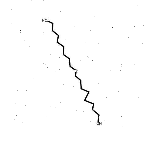 OCCCCCCCC[N]CCCCCCCCO